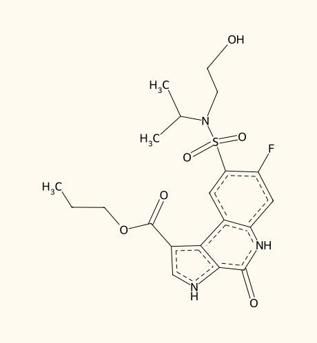 CCCOC(=O)c1c[nH]c2c(=O)[nH]c3cc(F)c(S(=O)(=O)N(CCO)C(C)C)cc3c12